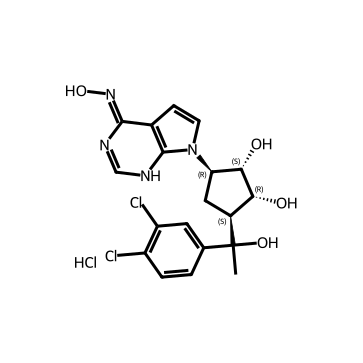 CC(O)(c1ccc(Cl)c(Cl)c1)[C@H]1C[C@@H](n2ccc3c(=NO)nc[nH]c32)[C@H](O)[C@@H]1O.Cl